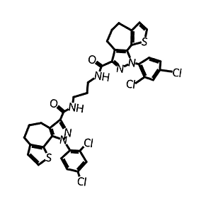 O=C(NCCCNC(=O)c1nn(-c2ccc(Cl)cc2Cl)c2c1CCCc1ccsc1-2)c1nn(-c2ccc(Cl)cc2Cl)c2c1CCCc1ccsc1-2